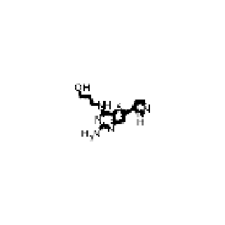 Nc1nc(NCCCO)c2sc(-c3ccn[nH]3)cc2n1